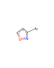 CC(=O)c1ccon1